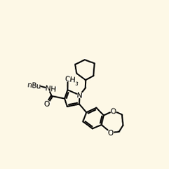 CCCCNC(=O)c1cc(-c2ccc3c(c2)OCCCO3)n(CC2CCCCC2)c1C